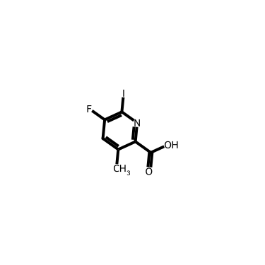 Cc1cc(F)c(I)nc1C(=O)O